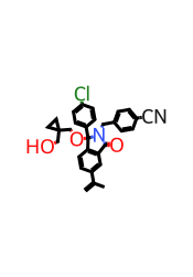 C=C(C)c1ccc2c(c1)C(=O)N(Cc1ccc(C#N)cc1)C2(OCC1(CO)CC1)c1ccc(Cl)cc1